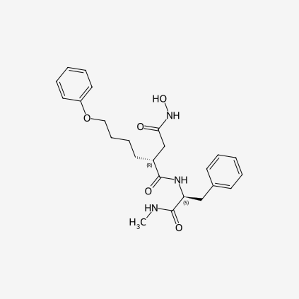 CNC(=O)[C@H](Cc1ccccc1)NC(=O)[C@H](CCCCOc1ccccc1)CC(=O)NO